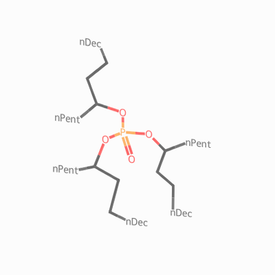 CCCCCCCCCCCCC(CCCCC)OP(=O)(OC(CCCCC)CCCCCCCCCCCC)OC(CCCCC)CCCCCCCCCCCC